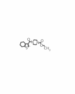 CCOC(=O)N1CCN(C(=O)c2[c]sc3c2CCCC3)CC1